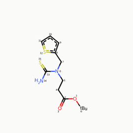 CC(C)(C)OC(=O)CCN(Cc1cccs1)C(N)=S